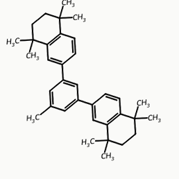 Cc1cc(-c2ccc3c(c2)C(C)(C)CCC3(C)C)cc(-c2ccc3c(c2)C(C)(C)CCC3(C)C)c1